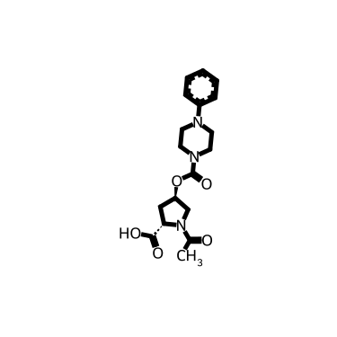 CC(=O)N1C[C@H](OC(=O)N2CCN(c3ccccc3)CC2)C[C@H]1C(=O)O